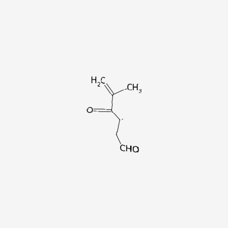 C=C(C)C(=O)[CH]CC=O